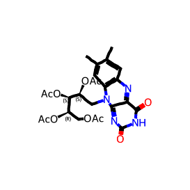 CC(=O)OC[C@@H](OC(C)=O)[C@@H](OC(C)=O)[C@H](Cn1c2nc(=O)[nH]c(=O)c-2nc2cc(C)c(C)cc21)OC(C)=O